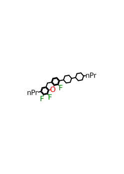 CCCc1cc2c(c(F)c1F)Oc1c(ccc(C3CCC(C4CCC(CCC)CC4)CC3)c1F)C2